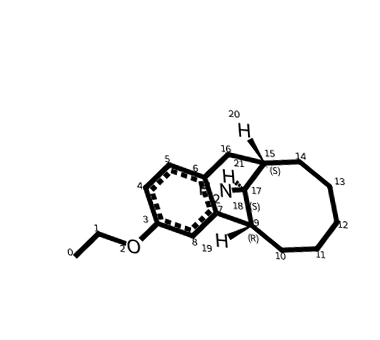 CCOc1ccc2c(c1)[C@H]1CCCCC[C@@H](C2)[C@@H]1N